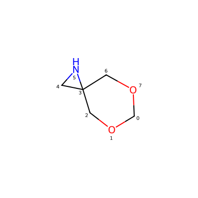 C1OCC2(CN2)CO1